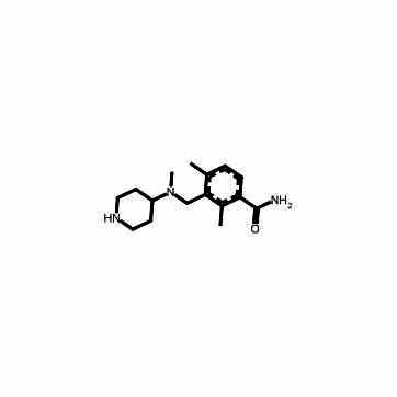 Cc1ccc(C(N)=O)c(C)c1CN(C)C1CCNCC1